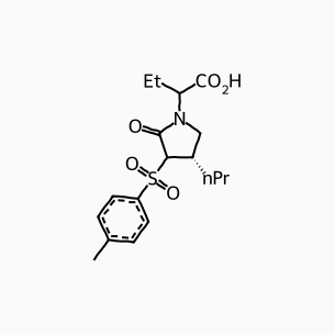 CCC[C@H]1CN(C(CC)C(=O)O)C(=O)C1S(=O)(=O)c1ccc(C)cc1